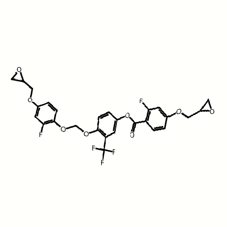 O=C(Oc1ccc(OCOc2ccc(OCC3CO3)cc2F)c(C(F)(F)F)c1)c1ccc(OCC2CO2)cc1F